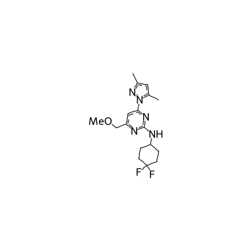 COCc1cc(-n2nc(C)cc2C)nc(NC2CCC(F)(F)CC2)n1